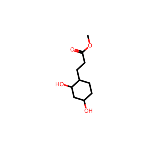 COC(=O)CCC1CCC(O)CC1O